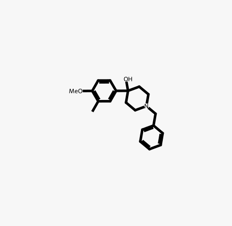 COc1ccc(C2(O)CCN(Cc3ccccc3)CC2)cc1C